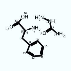 NNC(N)=O.N[C@@H](Cc1ccccc1)C(=O)O